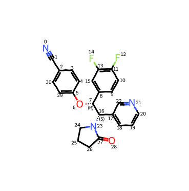 N#Cc1ccc(O[C@H](c2ccc(F)c(F)c2)[C@H](c2cccnc2)N2CCCC2=O)cc1